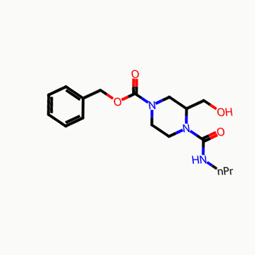 CCCNC(=O)N1CCN(C(=O)OCc2ccccc2)CC1CO